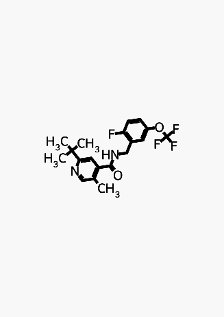 Cc1cnc(C(C)(C)C)cc1C(=O)NCc1cc(OC(F)(F)F)ccc1F